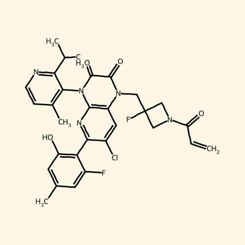 C=CC(=O)N1CC(F)(Cn2c(=O)c(=O)n(-c3c(C)ccnc3C(C)C)c3nc(-c4c(O)cc(C)cc4F)c(Cl)cc32)C1